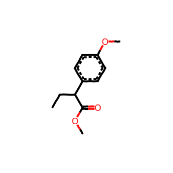 CCC(C(=O)OC)c1ccc(OC)cc1